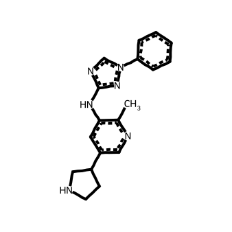 Cc1ncc(C2CCNC2)cc1Nc1ncn(-c2ccccc2)n1